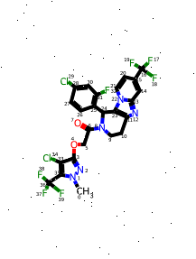 Cn1nc(OCC(=O)N2CCc3nc4cc(C(F)(F)F)ccn4c3C2c2ccc(Cl)cc2F)c(Cl)c1C(F)(F)F